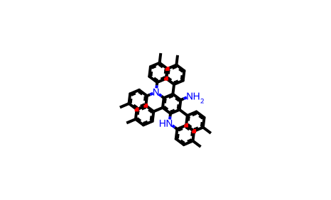 Cc1ccc(Nc2c(-c3ccc(C)cc3)c(N)c(-c3ccc(C)cc3)c(N(c3ccc(C)cc3)c3ccc(C)cc3)c2-c2ccc(C)cc2)cc1